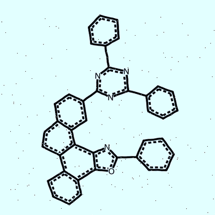 c1ccc(-c2nc(-c3ccccc3)nc(-c3ccc4ccc5c6ccccc6c6oc(-c7ccccc7)nc6c5c4c3)n2)cc1